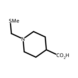 CSCN1CCC(C(=O)O)CC1